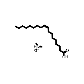 CCCCCCCC/C=C\CCCCCCCC(=O)O.C[NH+](C)[O-]